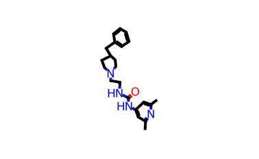 Cc1cc(NC(=O)NCCN2CCC(Cc3ccccc3)CC2)cc(C)n1